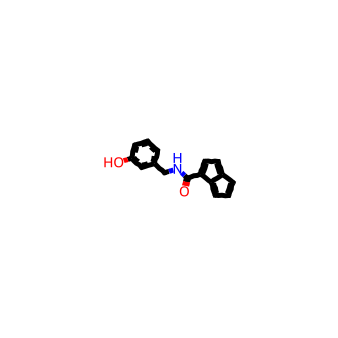 O=C(NCc1cccc(O)c1)C1=CC=C2C=CC=C21